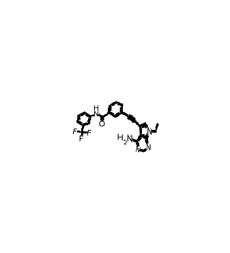 CCn1cc(C#Cc2cccc(C(=O)Nc3cccc(C(F)(F)F)c3)c2)c2c(N)ncnc21